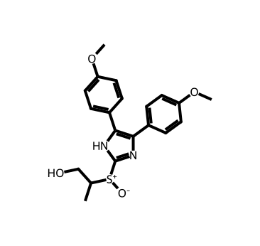 COc1ccc(-c2nc([S+]([O-])C(C)CO)[nH]c2-c2ccc(OC)cc2)cc1